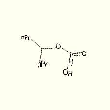 CCCC(CCC)O[PH](=O)O